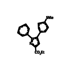 CCOC(=O)c1cc(-c2ccc(SC)cc2)n(-c2ccccc2)n1